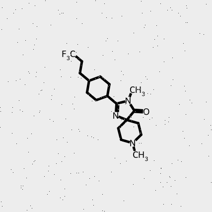 CN1CCC2(CC1)N=C(C1CCC(CCC(F)(F)F)CC1)N(C)C2=O